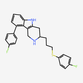 Fc1ccc(SCCCC2Cc3[nH]c4cccc(-c5ccc(F)cc5)c4c3CN2)cc1